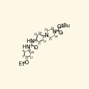 CCOc1ccc(NC(=O)Nc2ccc(N3CCN(C(=O)OC(C)(C)C)CC3)cc2)cc1